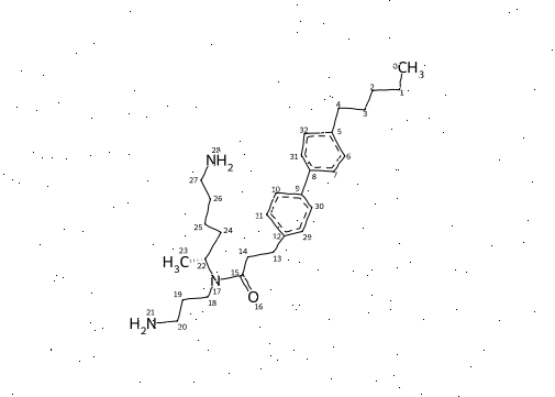 CCCCCc1ccc(-c2ccc(CCC(=O)N(CCCN)[C@H](C)CCCCN)cc2)cc1